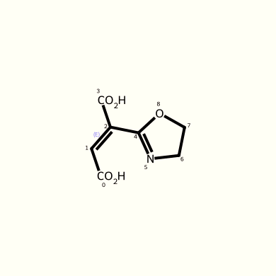 O=C(O)/C=C(/C(=O)O)C1=NCCO1